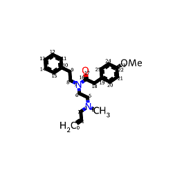 C=CCN(C)CCN(CCc1ccccc1)C(=O)Cc1ccc(OC)cc1